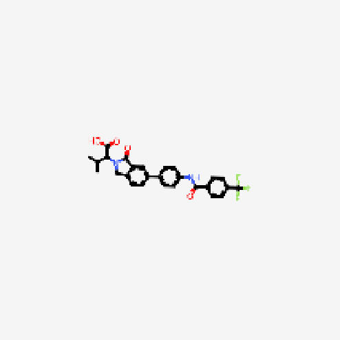 CC(C)C(C(=O)O)N1Cc2ccc(-c3ccc(NC(=O)c4ccc(C(F)(F)F)cc4)cc3)cc2C1=O